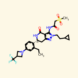 CCc1cc(N2CC(C(F)(F)F)C2)ccc1[C@H]1Cc2nn(CCC3CC3)c(NC(=O)CS(C)(=O)=O)c2C(=O)N1